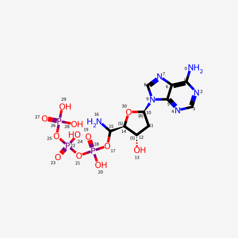 Nc1ncnc2c1ncn2[C@H]1C[C@H](O)[C@@H](C(N)OP(=O)(O)OP(=O)(O)OP(=O)(O)O)O1